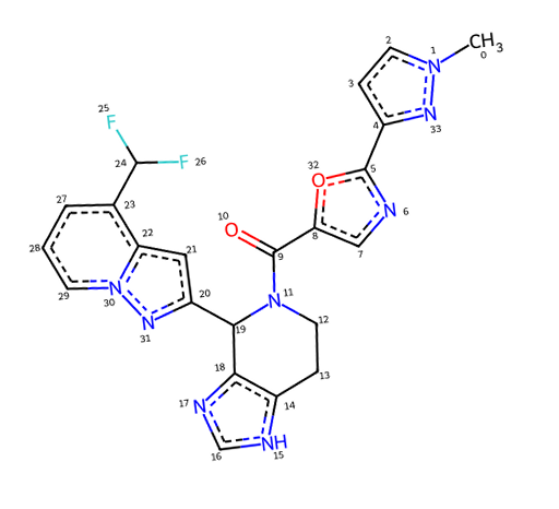 Cn1ccc(-c2ncc(C(=O)N3CCc4[nH]cnc4C3c3cc4c(C(F)F)cccn4n3)o2)n1